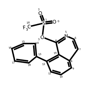 O=S(=O)(Oc1nccc2cccc(-c3ccccc3)c12)C(F)(F)F